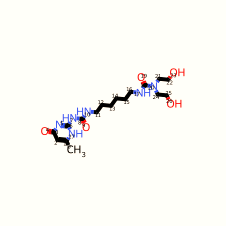 Cc1cc(=O)nc(NC(=O)NCCCCCCNC(=O)N(CCO)CCO)[nH]1